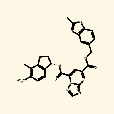 Cc1nc2cc(CNC(=O)c3cc(C(=O)N[C@H]4CCc5c4ccc(C(=O)O)c5C)n4ncnc4n3)ccc2o1